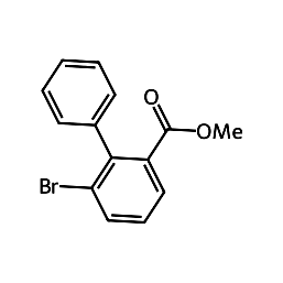 COC(=O)c1cccc(Br)c1-c1ccccc1